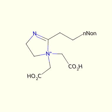 CCCCCCCCCCCC1=NCC[N+]1(CC(=O)O)CC(=O)O